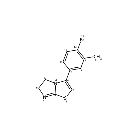 Cc1cc(C2=CSC3=NCCN23)ccc1Br